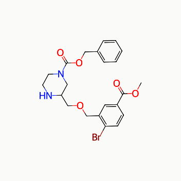 COC(=O)c1ccc(Br)c(COCC2CN(C(=O)OCc3ccccc3)CCN2)c1